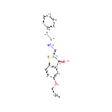 CCOc1ccc2c(c1)C(=O)C(=CNCCc1ccccc1)S2